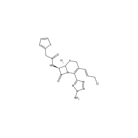 Bn1nnc(C2=C(C=CCCl)CS[C@@H]3[C@H](NC(=O)Cc4cccs4)C(=O)N23)n1